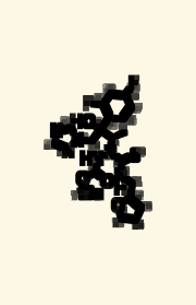 C[C@@H](N(NC(=O)OC(C)(C)C)C(=S)NCc1ccco1)[C@](O)(Cn1cncn1)c1ccc(F)cc1F